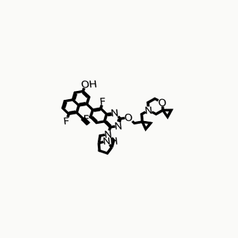 C#Cc1c(F)ccc2cc(O)cc(-c3c(F)cc4c(N5CC6CCC(C5)N6)nc(OCC5(CN6CCOC7(CC7)C6)CC5)nc4c3F)c12